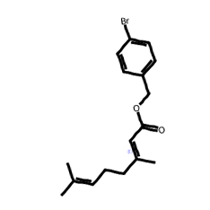 CC(C)=CCC/C(C)=C/C(=O)OCc1ccc(Br)cc1